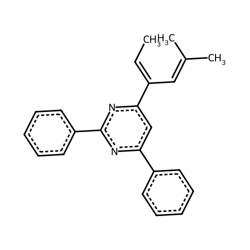 C/C=C(\C=C(C)C)c1cc(-c2ccccc2)nc(-c2ccccc2)n1